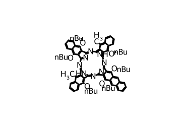 CCCCOc1c2c(c(OCCCC)c3ccccc13)-c1nc-2nc2[nH]c(nc3nc(nc4[nH]c(n1)c1c(C)c5ccccc5c(OCCCC)c41)-c1c-3c(OCCCC)c3cc4ccccc4cc3c1OCCCC)c1c(OCCCC)c3ccccc3c(C)c21